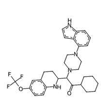 O=C(C1CCCCC1)C(C1CCc2cc(OC(F)(F)F)ccc2N1)N1CCN(c2cccc3[nH]ccc23)CC1